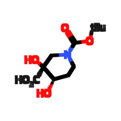 CC(C)(C)OC(=O)N1CC[C@H](O)[C@@](O)(C(=O)O)C1